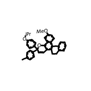 COc1ccc2c3c(c4c(c2c1)OC(c1ccc(C)cc1)(c1ccc(OC(C)C)cc1)C=C4)CCc1ccccc1-3